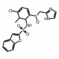 CC1C(Cl)=CC=C([S+]([O-])Cc2ncc[nH]2)C1NS(=O)(=O)c1cc2ccccc2o1